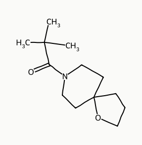 CC(C)(C)C(=O)N1CCC2(CCCO2)CC1